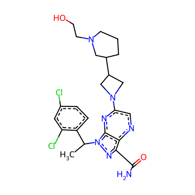 CC(c1ccc(Cl)cc1Cl)n1nc(C(N)=O)c2ncc(N3CC(C4CCCN(CCO)C4)C3)nc21